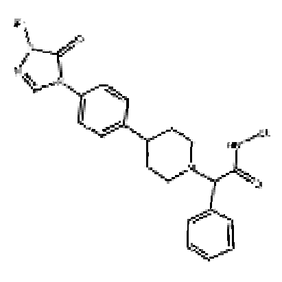 CCNC(=O)C(c1ccccc1)N1CCC(c2ccc(-n3cnn(C(C)C)c3=O)cc2)CC1